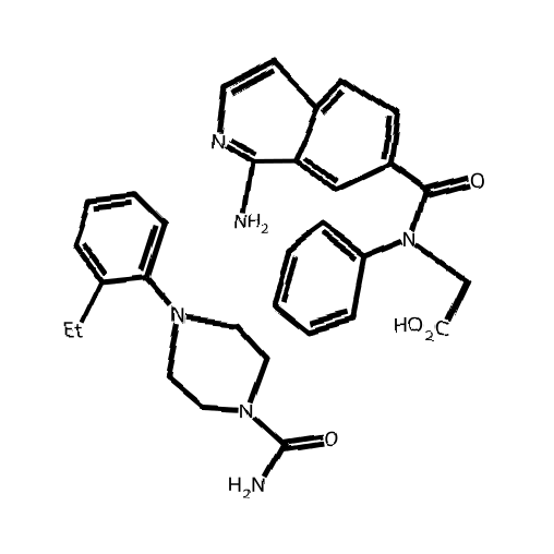 CCc1ccccc1N1CCN(C(N)=O)CC1.Nc1nccc2ccc(C(=O)N(CC(=O)O)c3ccccc3)cc12